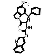 Nc1cc2c3c(c1)C(c1ccccc1)=N[C@@H](NC(=O)Oc1cnc4ccccc4c1)C(=O)N3CC2